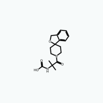 CC(C)(NC(=O)O)C(=O)N1CCC2(CC1)OCc1ccccc12